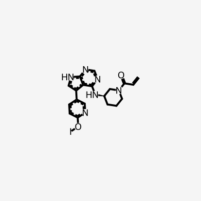 C=CC(=O)N1CCC[C@@H](Nc2ncnc3[nH]cc(-c4ccc(OI)nc4)c23)C1